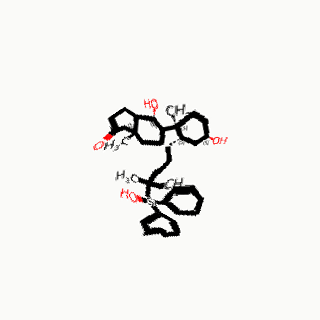 CC(C)(CCC[C@H]1C[C@@H](O)CC[C@]1(C)C1CC[C@]2(C)C(=O)CCC2[C@@H]1O)[Si](O)(c1ccccc1)c1ccccc1